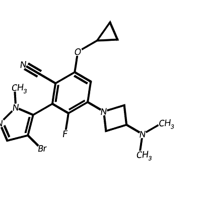 CN(C)C1CN(c2cc(OC3CC3)c(C#N)c(-c3c(Br)cnn3C)c2F)C1